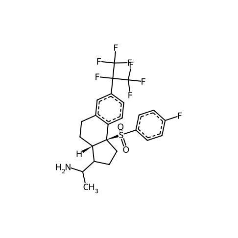 CC(N)C1CC[C@@]2(S(=O)(=O)c3ccc(F)cc3)c3ccc(C(F)(C(F)(F)F)C(F)(F)F)cc3CC[C@@H]12